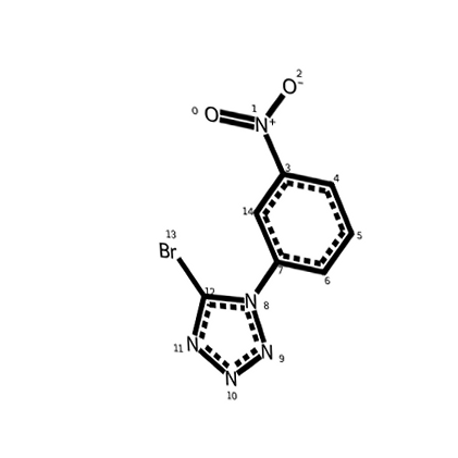 O=[N+]([O-])c1cccc(-n2nnnc2Br)c1